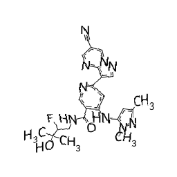 Cc1cc(Nc2cc(-c3cnn4cc(C#N)cnc34)ncc2C(=O)NCC(F)C(C)(C)O)n(C)n1